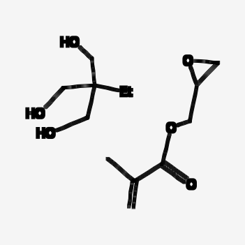 C=C(C)C(=O)OCC1CO1.CCC(CO)(CO)CO